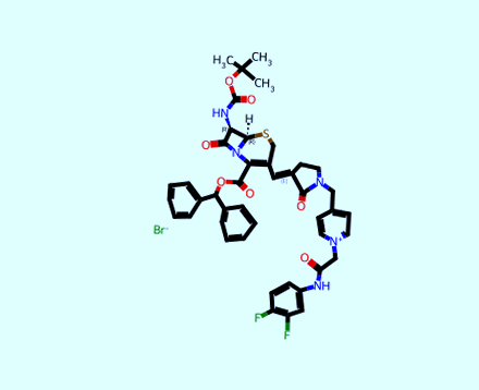 CC(C)(C)OC(=O)N[C@@H]1C(=O)N2C(C(=O)OC(c3ccccc3)c3ccccc3)=C(/C=C3\CCN(Cc4cc[n+](CC(=O)Nc5ccc(F)c(F)c5)cc4)C3=O)CS[C@H]12.[Br-]